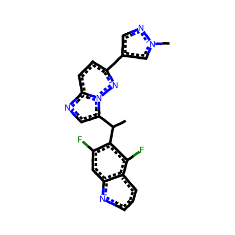 CC(c1c(F)cc2ncccc2c1F)c1cnc2ccc(-c3cnn(C)c3)nn12